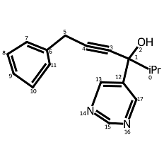 CC(C)C(O)(C#CCc1ccccc1)c1cncnc1